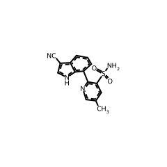 Cc1cnc(-c2cccc3c(C#N)c[nH]c23)c(S(N)(=O)=O)c1